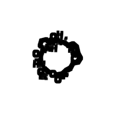 CC[C@@H]1OC(=O)C(C)(C)/C=C/c2ccc3ccc(nc3c2)[C@@H](C)NC(=O)[C@@H]2CCCN(N2)C(=O)[C@H](C)NC1=O